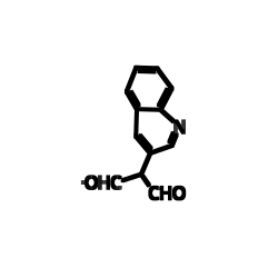 O=[C]C(C=O)c1cnc2ccccc2c1